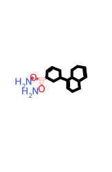 NOB(ON)C1C=CCC(C2=CCCC3C=CCCC23)C1